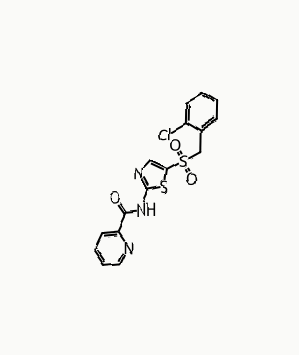 O=C(Nc1ncc(S(=O)(=O)Cc2ccccc2Cl)s1)c1ccccn1